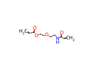 C=CC(=O)NCCOCCOC(=O)C=C